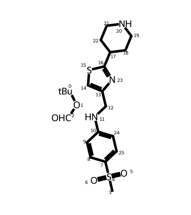 CC(C)(C)OC=O.CS(=O)(=O)c1ccc(NCc2csc(C3CCNCC3)n2)cc1